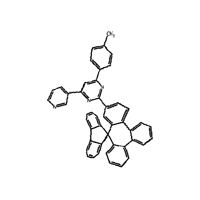 Cc1ccc(-c2cc(-c3cccnc3)nc(-c3ccc4c(c3)C3(c5ccccc5-c5ccccc5-4)c4ccccc4-c4ccccc43)n2)cc1